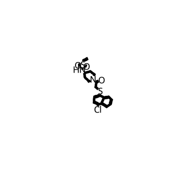 C=CS(=O)(=O)NC1CCN(C(=O)CSc2ccc(Cl)c3ccccc23)CC1